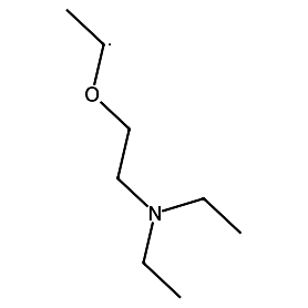 C[CH]OCCN(CC)CC